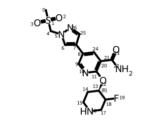 CS(=O)(=O)Cn1cc(-c2cnc(O[C@@H]3CCNCC3F)c(C(N)=O)c2)cn1